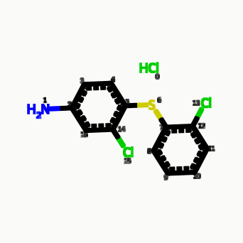 Cl.Nc1ccc(Sc2ccccc2Cl)c(Cl)c1